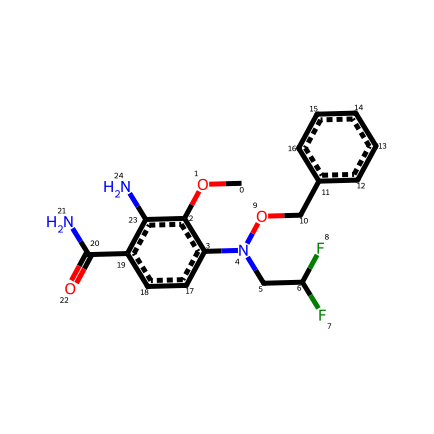 COc1c(N(CC(F)F)OCc2ccccc2)ccc(C(N)=O)c1N